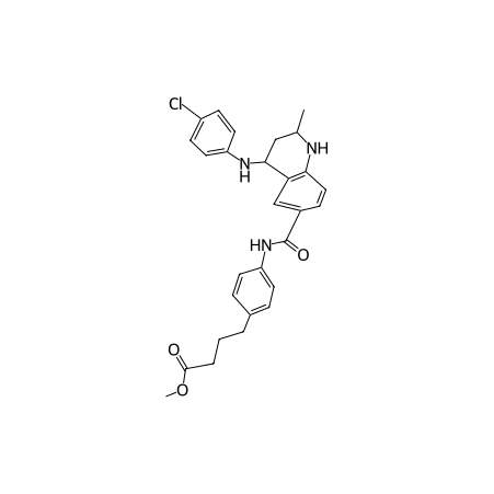 COC(=O)CCCc1ccc(NC(=O)c2ccc3c(c2)C(Nc2ccc(Cl)cc2)CC(C)N3)cc1